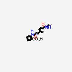 CC(C)NC(=O)c1ccc(/C=C/C(=O)Nc2ccccc2C(=O)O)cc1